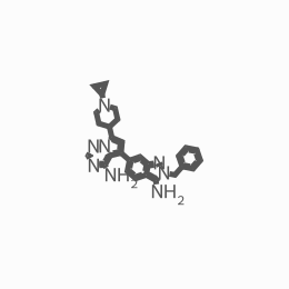 Nc1ncnn2c(C3CCN(C4CC4)CC3)cc(-c3ccc4c(N)n(Cc5ccccc5)nc4c3)c12